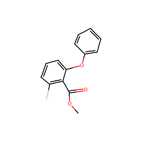 COC(=O)c1c(F)cccc1Oc1ccccc1